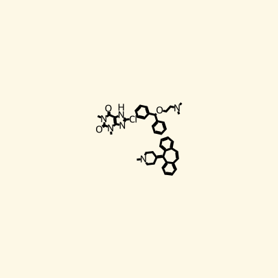 CN(C)CCOC(c1ccccc1)c1ccccc1.CN1CCC(=C2c3ccccc3C=Cc3ccccc32)CC1.Cn1c(=O)c2[nH]c(Cl)nc2n(C)c1=O